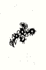 Cc1nc(-c2ccc(Oc3cc(CN4CCCC4=O)c(NC(=O)c4ccccn4)c([N+](=O)[O-])c3)cn2)no1